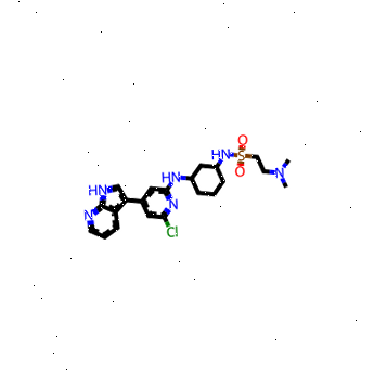 CN(C)CCS(=O)(=O)NC1CCCC(Nc2cc(-c3c[nH]c4ncccc34)cc(Cl)n2)C1